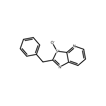 [O-][s+]1c(Cc2ccccc2)nc2cccnc21